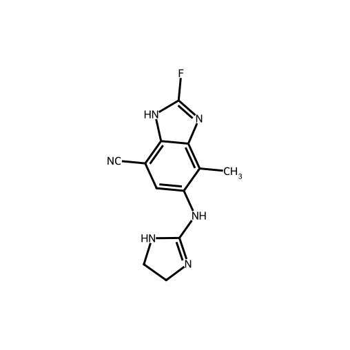 Cc1c(NC2=NCCN2)cc(C#N)c2[nH]c(F)nc12